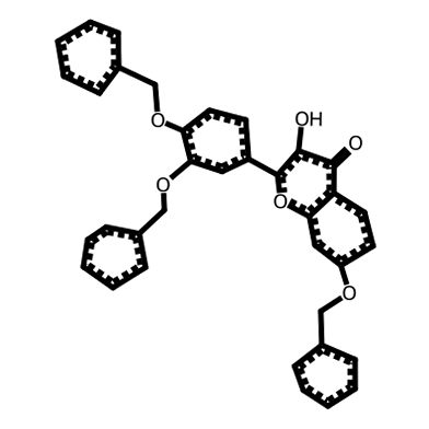 O=c1c(O)c(-c2ccc(OCc3ccccc3)c(OCc3ccccc3)c2)oc2cc(OCc3ccccc3)ccc12